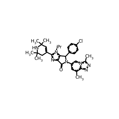 Cc1cc(N2C(=O)c3nc(C4=CC(C)(C)NC(C)(C)C4)n(C(C)C)c3C2c2ccc(Cl)cc2)cn2c(C)nnc12